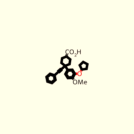 COc1ccc(C2(C#Cc3ccccc3)CCC(C(=O)O)CC2)cc1OC1CCCC1